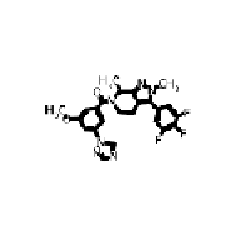 COc1cc(C(=O)N2CCc3c(nn(C)c3-c3cc(F)c(F)c(F)c3)[C@@H]2C)cc(-n2cncn2)c1